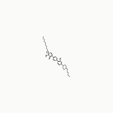 CCCCCCCCCOc1ccc(-c2ccc(-c3ccc(C4CCC(CCCCC)CC4)cc3F)cc2)c(F)c1F